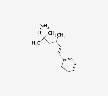 CC(C=Cc1ccccc1)CC(C)(C)O[SiH3]